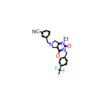 CCn1c2c(c(=O)n(Cc3ccc(C(C)(F)F)cc3)c1=O)CN(Cc1cccc(C#N)c1)C2